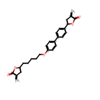 C=C1CC(CCCCCOc2ccc(-c3ccc(C4CC(=C)C(=O)O4)cc3)cc2)OC1=O